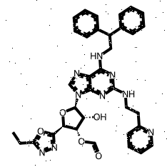 CCc1nnc([C@H]2O[C@@H](n3cnc4c(NCC(c5ccccc5)c5ccccc5)nc(NCCc5ccccn5)nc43)[C@H](O)[C@@H]2OC=O)o1